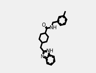 Cc1cccc(CNC(=O)C2CCC(Cc3nc4ccccc4[nH]3)CC2)c1